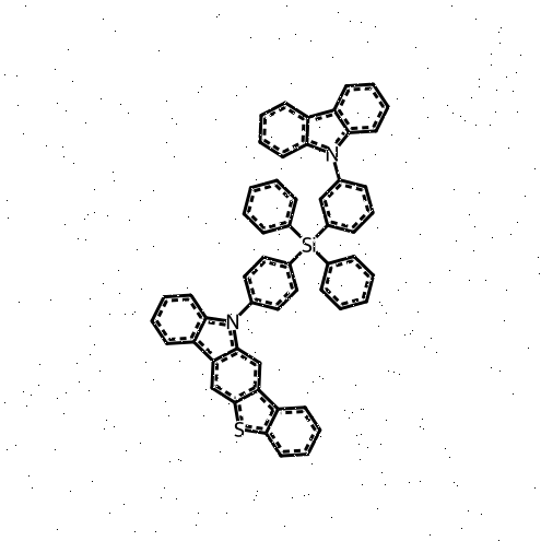 c1ccc([Si](c2ccccc2)(c2ccc(-n3c4ccccc4c4cc5sc6ccccc6c5cc43)cc2)c2cccc(-n3c4ccccc4c4ccccc43)c2)cc1